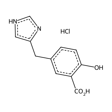 Cl.O=C(O)c1cc(Cc2c[nH]cn2)ccc1O